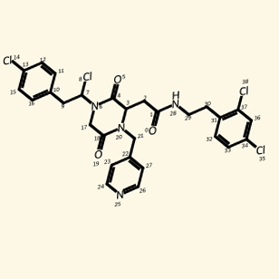 O=C(CC1C(=O)N(C(Cl)Cc2ccc(Cl)cc2)CC(=O)N1Cc1ccncc1)NCCc1ccc(Cl)cc1Cl